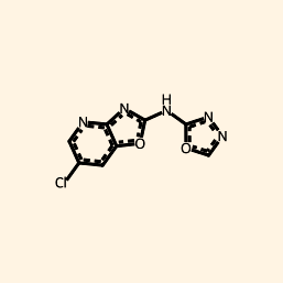 Clc1cnc2nc(Nc3nnco3)oc2c1